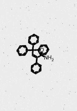 NC(=O)/C(=C\C(c1ccccc1)(c1ccccc1)c1ccccc1)c1ccccc1